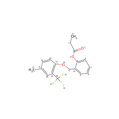 CCC(=O)Oc1ccccc1COc1ccc(C)cc1C(F)(F)F